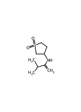 C=C(NC1CCS(=O)(=O)C1)C(C)C